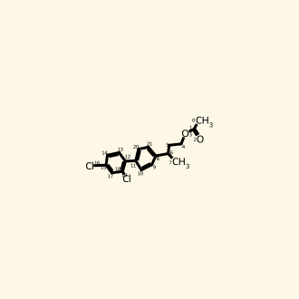 CC(=O)OCCC(C)c1ccc(-c2ccc(Cl)cc2Cl)cc1